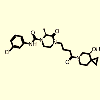 C[C@H]1C(=O)N(CCCC(=O)N2CCC3(CC3)[C@H](O)C2)CCN1C(=O)Nc1cccc(Cl)c1